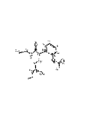 CCOC(=O)CSC(C(=O)OCC)c1ccccc1OC(C)=O